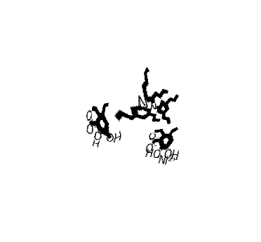 CCCCC(=Nc1cc(CCC)cc(CCC)c1)C(CCCC)=Nc1cc(CCC)cc(CCC)c1.CCc1cc(O)c(O)c(C(=O)[O-])c1CC.CCc1cc(O)c(O)c(C(=O)[O-])c1CC.[Ni+2]